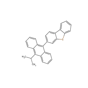 CC(C)c1c2ccccc2c(-c2ccc3c(c2)sc2ccccc23)c2ccccc12